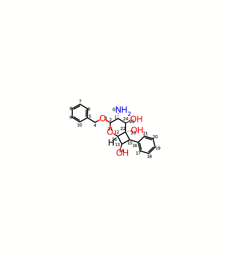 N[C@H]1[C@H](OCc2ccccc2)O[C@@H]2C(O)C(c3ccccc3)[C@]2(O)[C@@H]1O